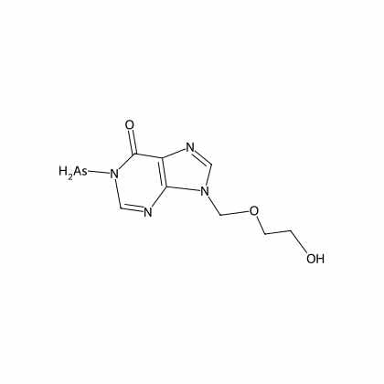 O=c1c2ncn(COCCO)c2ncn1[AsH2]